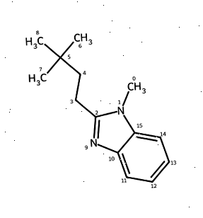 Cn1c(CCC(C)(C)C)nc2ccccc21